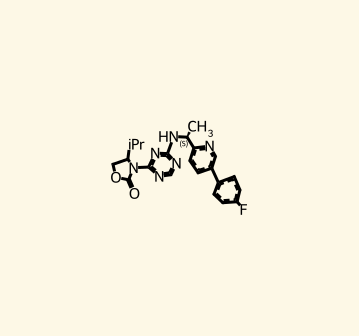 CC(C)C1COC(=O)N1c1ncnc(N[C@@H](C)c2ccc(-c3ccc(F)cc3)cn2)n1